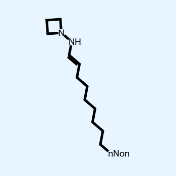 CCCCCCCCCCCCCCCCC=CNN1CCC1